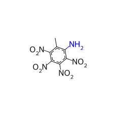 Cc1c(N)c([N+](=O)[O-])c([N+](=O)[O-])c([N+](=O)[O-])c1[N+](=O)[O-]